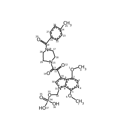 COc1cnc(OC)c2c1c(C(=O)C(=O)N1CCN(C(=O)c3ccc(C)cc3)CC1)cn2COP(=O)(O)O